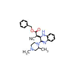 CC1CN(C)CCN1C1=Nc2ccccc2NC1=C(C#N)C(=O)OCc1ccccc1